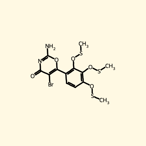 CSOc1ccc(-c2oc(N)nc(=O)c2Br)c(OSC)c1OSC